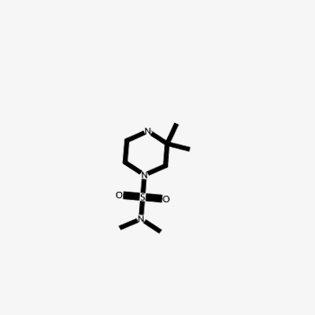 CN(C)S(=O)(=O)N1CC[N]C(C)(C)C1